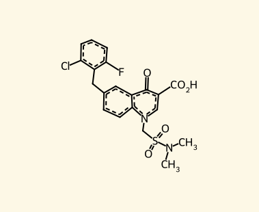 CN(C)S(=O)(=O)Cn1cc(C(=O)O)c(=O)c2cc(Cc3c(F)cccc3Cl)ccc21